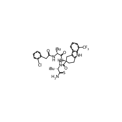 CCC(C)[C@H](NC(=O)Cc1ccccc1Cl)C(=O)N[C@]1(C(=O)NC(C(N)=S)[C@@H](C)CC)CCc2[nH]c3c(C(F)(F)F)cccc3c2C1